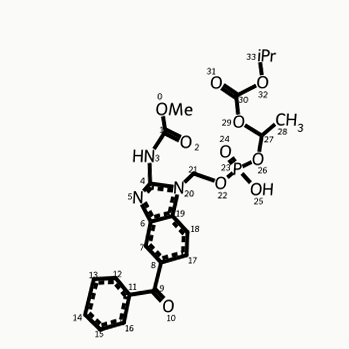 COC(=O)Nc1nc2cc(C(=O)c3ccccc3)ccc2n1COP(=O)(O)OC(C)OC(=O)OC(C)C